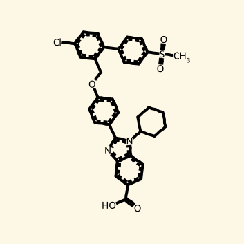 CS(=O)(=O)c1ccc(-c2ccc(Cl)cc2COc2ccc(-c3nc4cc(C(=O)O)ccc4n3C3CCCCC3)cc2)cc1